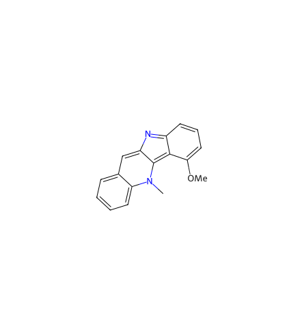 COc1cccc2nc3cc4ccccc4n(C)c-3c12